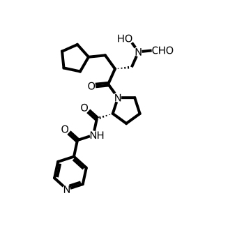 O=CN(O)C[C@@H](CC1CCCC1)C(=O)N1CCC[C@@H]1C(=O)NC(=O)c1ccncc1